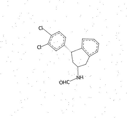 O=CNC1Cc2ccccc2[C@@H](c2ccc(Cl)c(Cl)c2)C1